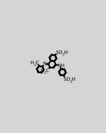 C=C1C=C(Nc2ccc(S(=O)(=O)O)cc2)c2cc(S(=O)(=O)O)ccc2/C1=N/c1ccccc1C